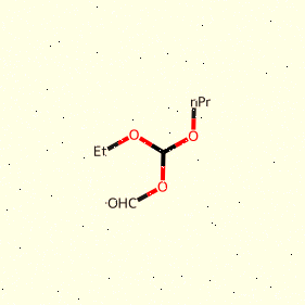 CCCOC(O[C]=O)OCC